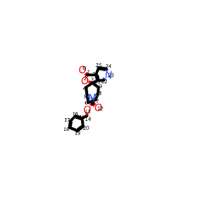 O=C1OC2(CC3CCC(C2)N3C(=O)OCc2ccccc2)c2cnccc21